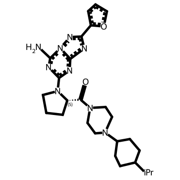 CC(C)C1CCC(N2CCN(C(=O)[C@@H]3CCCN3c3nc(N)n4nc(-c5ccco5)nc4n3)CC2)CC1